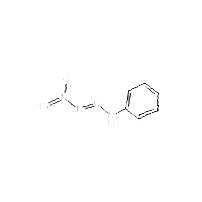 N=[N+]([O-])N=NNc1ccccc1